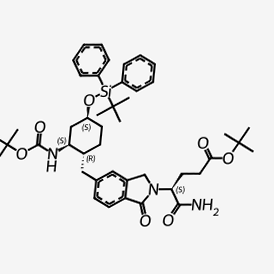 CC(C)(C)OC(=O)CC[C@@H](C(N)=O)N1Cc2cc(C[C@H]3CC[C@H](O[Si](c4ccccc4)(c4ccccc4)C(C)(C)C)C[C@@H]3NC(=O)OC(C)(C)C)ccc2C1=O